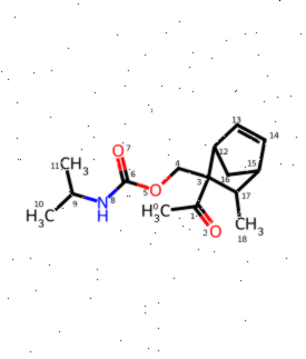 CC(=O)C1(COC(=O)NC(C)C)C2C=CC(C2)C1C